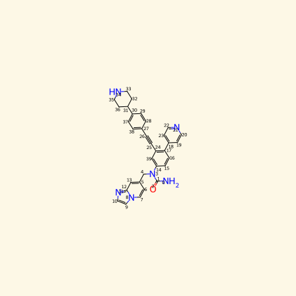 NC(=O)N(Cc1ccn2ccnc2c1)c1ccc(-c2ccncc2)c(C#Cc2ccc(C3CCNCC3)cc2)c1